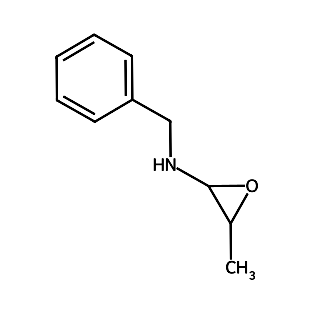 CC1OC1NCc1ccccc1